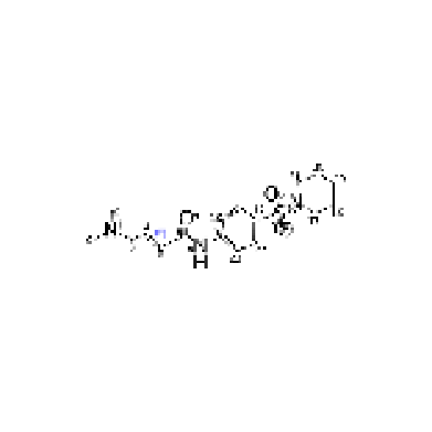 CN(C)C/C=C/C(=O)Nc1ccc(S(=O)(=O)N2CCCCC2)cc1